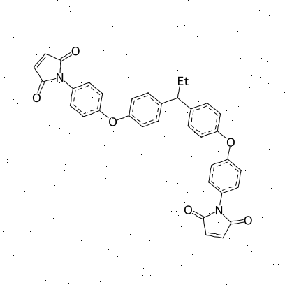 CCC(c1ccc(Oc2ccc(N3C(=O)C=CC3=O)cc2)cc1)c1ccc(Oc2ccc(N3C(=O)C=CC3=O)cc2)cc1